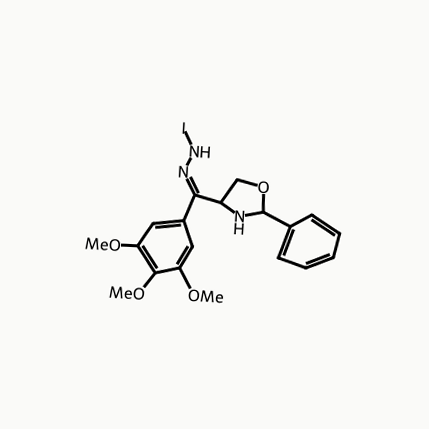 COc1cc(C(=NNI)C2COC(c3ccccc3)N2)cc(OC)c1OC